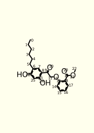 CCCCCCc1cc(C(=O)COc2ccccc2C(=O)OC)c(O)cc1O